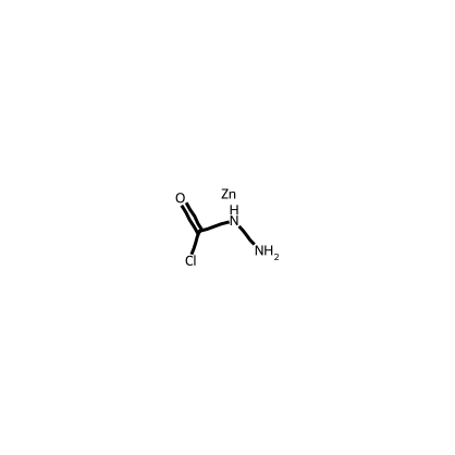 NNC(=O)Cl.[Zn]